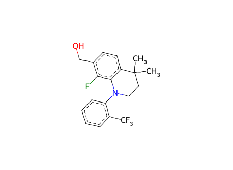 CC1(C)CCN(c2ccccc2C(F)(F)F)c2c1ccc(CO)c2F